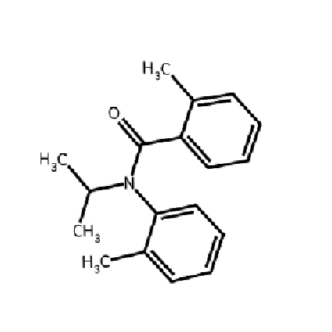 Cc1ccccc1C(=O)N(c1ccccc1C)C(C)C